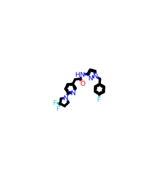 O=C(Cc1ccc(N2CCC(F)(F)C2)nc1)Nc1ccn(Cc2ccc(F)cc2)n1